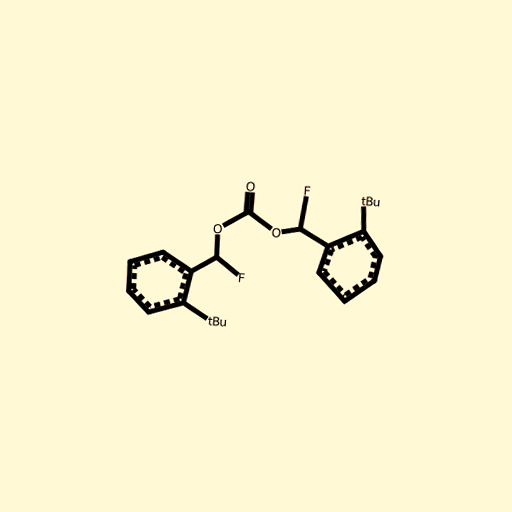 CC(C)(C)c1ccccc1C(F)OC(=O)OC(F)c1ccccc1C(C)(C)C